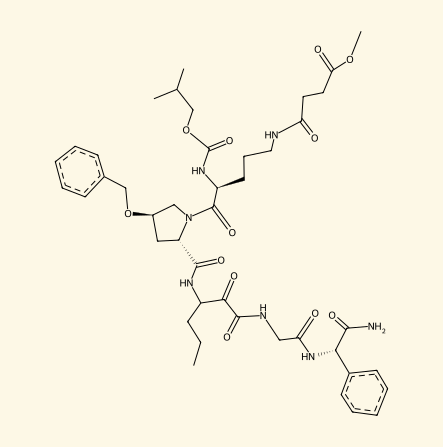 CCCC(NC(=O)[C@@H]1C[C@@H](OCc2ccccc2)CN1C(=O)[C@H](CCCNC(=O)CCC(=O)OC)NC(=O)OCC(C)C)C(=O)C(=O)NCC(=O)N[C@H](C(N)=O)c1ccccc1